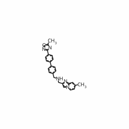 Cc1ccn2cc(CNCc3ccc(-c4ccc(-c5noc(C)n5)cc4)cc3)nc2c1